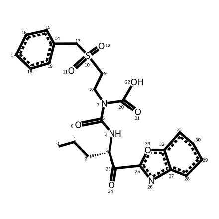 CCC[C@H](NC(=O)N(CCS(=O)(=O)Cc1ccccc1)C(=O)O)C(=O)c1nc2ccccc2o1